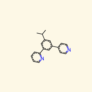 CC(C)c1cc(-c2ccncc2)cc(-c2ccccn2)c1